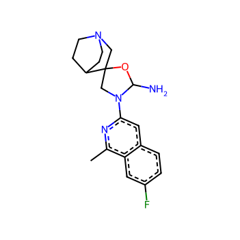 Cc1nc(N2CC3(CN4CCC3CC4)OC2N)cc2ccc(F)cc12